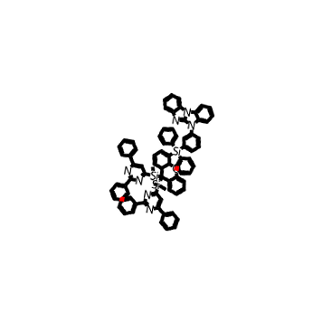 C[Si](C)(c1cc(-c2ccccc2)nc(-c2ccccc2)n1)C1([Si](C)(C)c2cc(-c3ccccc3)nc(-c3ccccc3)n2)c2ccccc2OC2C([Si](c3ccccc3)(c3ccccc3)c3cccc(-n4c5ccccc5n5c6ccccc6nc45)c3)=CC=CC21